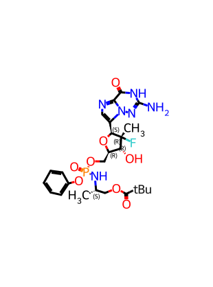 C[C@@H](COC(=O)C(C)(C)C)NP(=O)(OC[C@H]1O[C@@H](c2cnc3c(=O)[nH]c(N)nn23)[C@](C)(F)[C@@H]1O)Oc1ccccc1